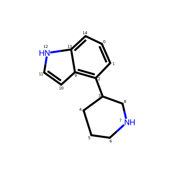 c1cc(C2CCCNC2)c2cc[nH]c2c1